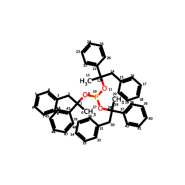 CC(Cc1ccccc1)(OP(OC(C)(Cc1ccccc1)c1ccccc1)OC(C)(Cc1ccccc1)c1ccccc1)c1ccccc1